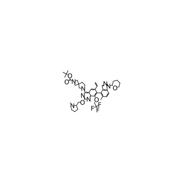 C=Cc1cc2c(N3CCC4(CN(C(=O)OC(C)(C)C)C4)C3)nc(OCC3CCCN3C)nc2c(OCC(F)(F)F)c1-c1c(C)ccc2c1cnn2C1CCCCO1